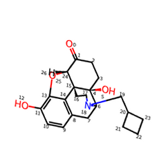 O=C1CC[C@]2(O)C3Cc4ccc(O)c5c4[C@]2(CCN3CC2CCC2)[C@@H]1O5